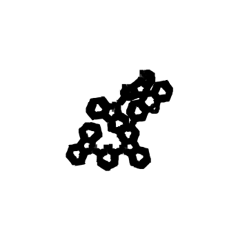 c1cc(-n2c3ccccc3c3ccccc32)nc(-n2c3ccccc3c3cc(-c4ccc5c(c4)Oc4ccccc4C54c5cccnc5-c5ncc(-n6c7ccccc7c7ccccc76)cc54)ccc32)c1